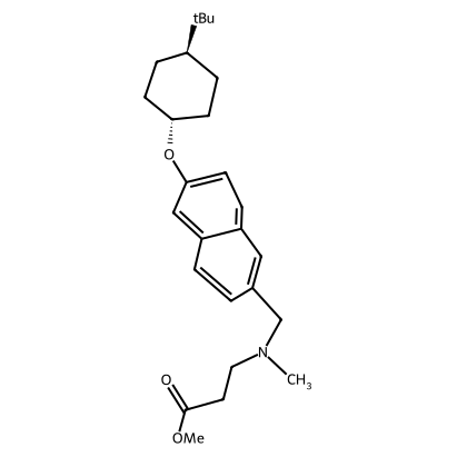 COC(=O)CCN(C)Cc1ccc2cc(O[C@H]3CC[C@H](C(C)(C)C)CC3)ccc2c1